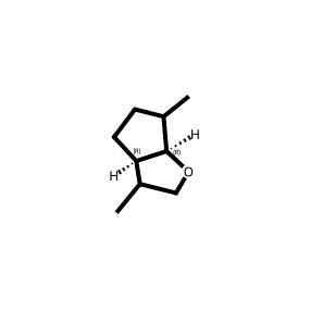 CC1CO[C@@H]2C(C)CC[C@H]12